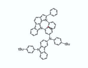 CC(C)(C)c1ccc(N(c2cccc(-n3c4ccccc4c4ccc5cc(-c6ccccc6)n(-c6ccccc6)c5c43)c2)c2ccc3c(c2)c2ccccc2n3-c2ccc(C(C)(C)C)cc2)cc1